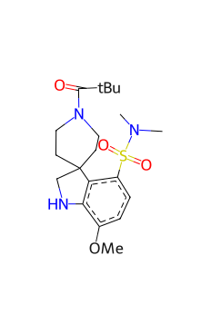 COc1ccc(S(=O)(=O)N(C)C)c2c1NCC21CCN(C(=O)C(C)(C)C)CC1